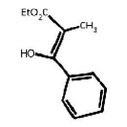 CCOC(=O)C(C)=C(O)c1ccccc1